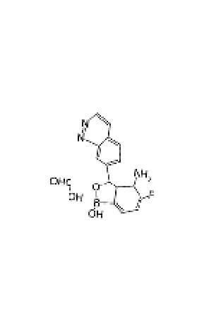 NC1C(F)=CC=C2B(O)OC(c3ccc4ccnnc4c3)C21.O=CO